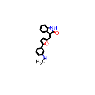 C=Nc1cccc(-c2ccc(/C=C3/C(=O)Nc4ccccc43)o2)c1